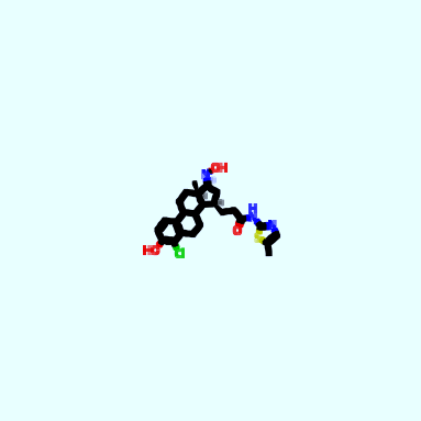 Cc1cnc(NC(=O)CC[C@@H]2C/C(=N\O)[C@@]3(C)CCC4c5ccc(O)c(Cl)c5CCC4C23)s1